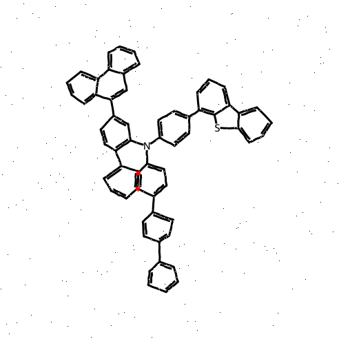 c1ccc(-c2ccc(-c3ccc(N(c4ccc(-c5cccc6c5sc5ccccc56)cc4)c4cc(-c5cc6ccccc6c6ccccc56)ccc4-c4ccccc4)cc3)cc2)cc1